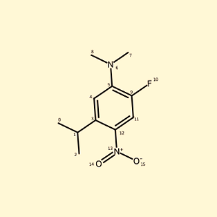 CC(C)c1cc(N(C)C)c(F)cc1[N+](=O)[O-]